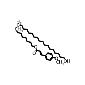 CCCCCCCCCCCCCCCCCCO.CCCCCCCCOC(=O)C=Cc1ccc(OC)cc1